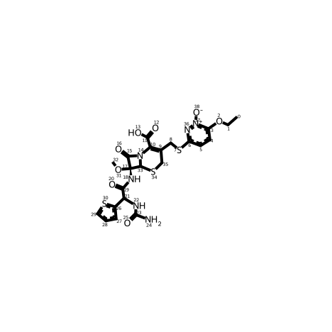 CCOc1ccc(SCC2=C(C(=O)O)N3C(=O)[C@@](NC(=O)C(NC(N)=O)c4cccs4)(OC)C3SC2)n[n+]1[O-]